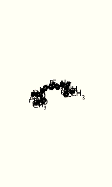 COC(=O)N[C@H](C(=O)N1CC2(C[C@H]1c1nc3ccc(-c4ccc5c(c4)C(F)(F)c4cc(-c6cnc([C@@H]7CCCN7C(=O)[C@H](NC(=O)OC)c7ccccc7)[nH]6)ccc4-5)cc3[nH]1)OCCO2)C1CCOCC1